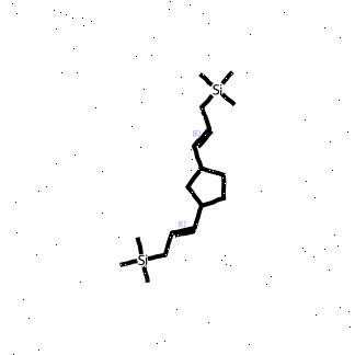 C[Si](C)(C)C/C=C/C1CCC(/C=C/C[Si](C)(C)C)C1